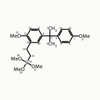 COc1ccc(C(C)(C)c2ccc(OC)c(CC[Si](OC)(OC)OC)c2)cc1